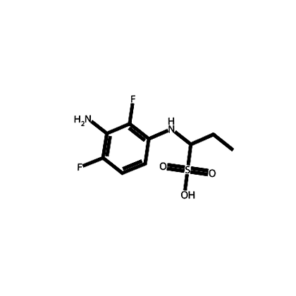 CCC(Nc1ccc(F)c(N)c1F)S(=O)(=O)O